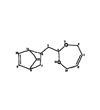 C1=CCOC(CC2CC3C=CC2C3)OC1